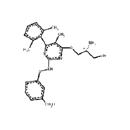 Cc1cccc(C)c1-c1nc(NSc2cccc(C(=O)O)c2)nc(OC[C@H](N)CC(C)C)c1C